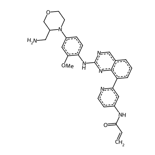 C=CC(=O)Nc1ccnc(-c2cccc3cnc(Nc4ccc(N5CCOCC5CN)cc4OC)nc23)c1